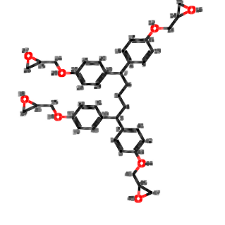 c1cc(C(CCCC(c2ccc(OCC3CO3)cc2)c2ccc(OCC3CO3)cc2)c2ccc(OCC3CO3)cc2)ccc1OCC1CO1